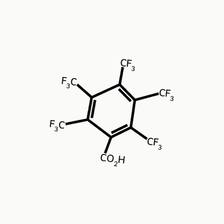 O=C(O)c1c(C(F)(F)F)c(C(F)(F)F)c(C(F)(F)F)c(C(F)(F)F)c1C(F)(F)F